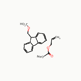 C=CCOC(=O)OC.O=C(O)OCC1c2ccccc2-c2ccccc21